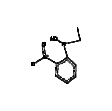 CCN(O)c1ccccc1[N+](=O)[O-]